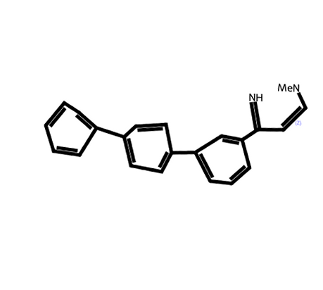 CN/C=C\C(=N)c1cccc(-c2ccc(-c3ccccc3)cc2)c1